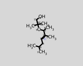 C/C(=C\CC(C)C)C(C)OC(C)(C)CO